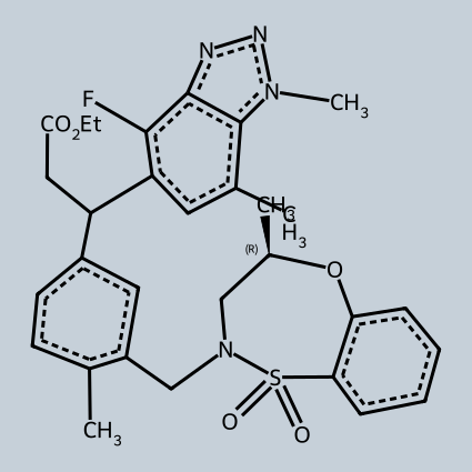 CCOC(=O)CC(c1ccc(C)c(CN2C[C@@H](C)Oc3ccccc3S2(=O)=O)c1)c1cc(C)c2c(nnn2C)c1F